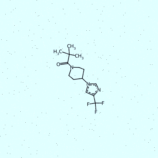 CC(C)(C)C(=O)N1CCC(n2cnc(C(F)(F)F)c2)CC1